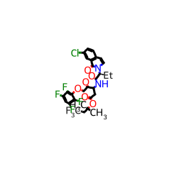 CC[C@@H](C(=O)NC(CC(=O)OC(C)(C)CC(F)(F)F)C(=O)COc1c(F)c(F)cc(F)c1F)n1ccc2ccc(Cl)cc2c1=O